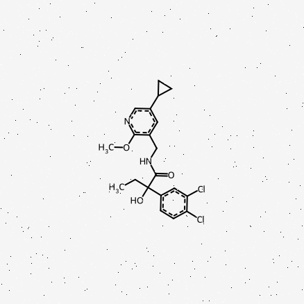 CCC(O)(C(=O)NCc1cc(C2CC2)cnc1OC)c1ccc(Cl)c(Cl)c1